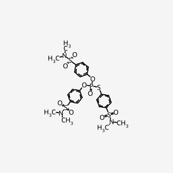 CN(C)S(=O)(=O)c1ccc(OP(=O)(Oc2ccc(S(=O)(=O)N(C)C)cc2)Sc2ccc(S(=O)(=O)N(C)C)cc2)cc1